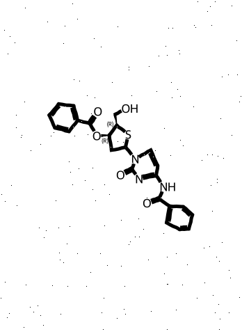 O=C(Nc1ccn(C2C[C@@H](OC(=O)c3ccccc3)[C@@H](CO)S2)c(=O)n1)c1ccccc1